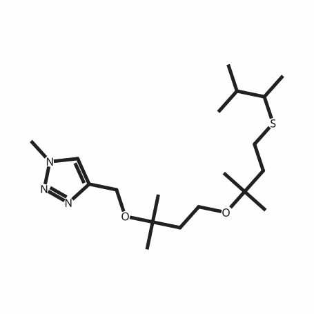 CC(C)C(C)SCCC(C)(C)OCCC(C)(C)OCc1cn(C)nn1